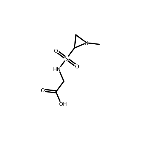 CN1CC1S(=O)(=O)NCC(=O)O